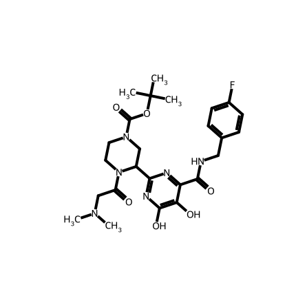 CN(C)CC(=O)N1CCN(C(=O)OC(C)(C)C)CC1c1nc(O)c(O)c(C(=O)NCc2ccc(F)cc2)n1